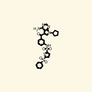 Nc1ncnc2c1c(C(=O)c1cccc(NS(=O)(=O)c3ccc(S(=O)(=O)c4ccccc4)s3)c1)cn2C1CCCC1